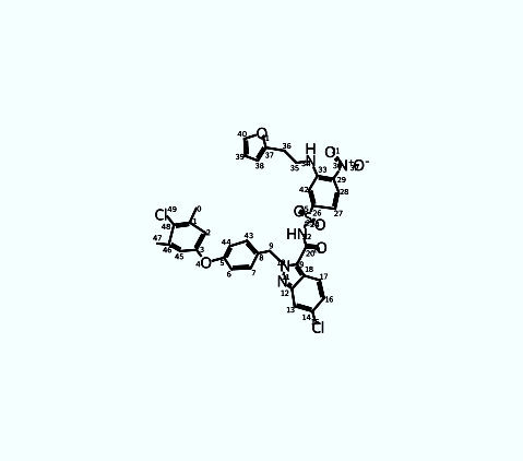 Cc1cc(Oc2ccc(Cn3nc4cc(Cl)ccc4c3C(=O)NS(=O)(=O)c3ccc([N+](=O)[O-])c(NCCc4ccco4)c3)cc2)cc(C)c1Cl